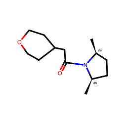 C[C@@H]1CC[C@H](C)N1C(=O)CC1CCOCC1